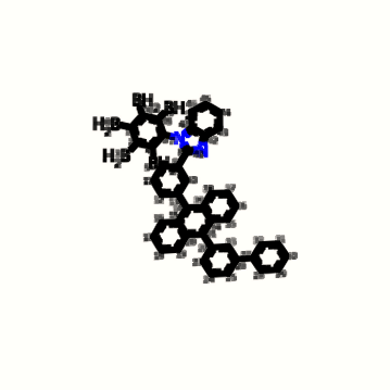 Bc1c(B)c(B)c(-n2c(-c3cccc(-c4c5ccccc5c(-c5cccc(-c6ccccc6)c5)c5ccccc45)c3)nc3ccccc32)c(B)c1B